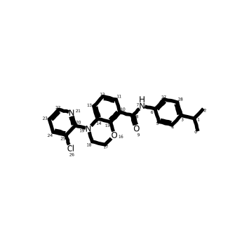 CC(C)c1ccc(NC(=O)c2cccc3c2OCCN3c2ncccc2Cl)cc1